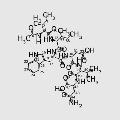 CC[C@H](C)[C@H](NC(C)=O)C(=O)N[C@H](C(=O)N[C@@H](Cc1c[nH]c2ccccc12)C(=O)N[C@@H](CC(=O)O)C(=O)N[C@H](C(=O)N[C@@H](CC(N)=O)C(=O)O)C(C)C)[C@@H](C)CC